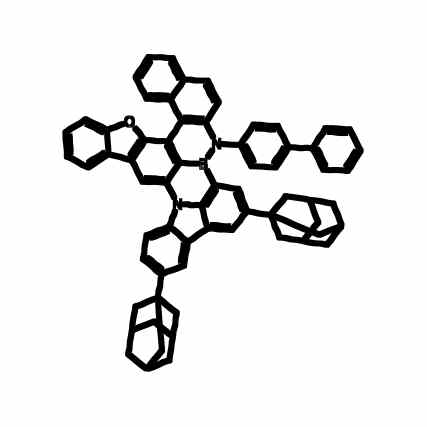 c1ccc(-c2ccc(N3B4c5c(cc6c(oc7ccccc76)c5-c5c3ccc3ccccc53)-n3c5ccc(C67CC8CC(CC(C8)C6)C7)cc5c5cc(C67CC8CC(CC(C8)C6)C7)cc4c53)cc2)cc1